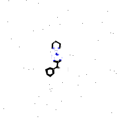 C=C(c1ccccc1)c1cnc(N2CCCCC2)nc1